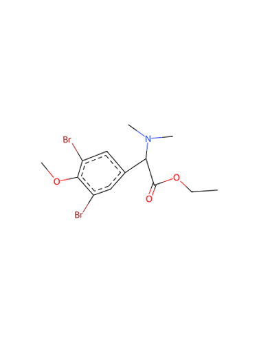 CCOC(=O)C(c1cc(Br)c(OC)c(Br)c1)N(C)C